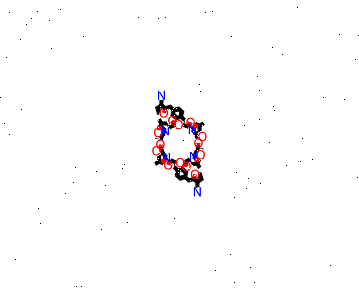 CC(C)C[C@H]1C(=O)O[C@H](Cc2ccc(Cc3occc3C#N)cc2)C(=O)N(C)[C@@H](CC(C)C)C(=O)O[C@H](C)C(=O)N(C)[C@@H](CC(C)C)C(=O)O[C@H](Cc2ccc(Cc3occc3C#N)cc2)C(=O)N(C)[C@@H](CC(C)C)C(=O)O[C@H](C)C(=O)N1C